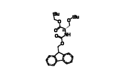 CC(C)(C)COC(=O)[C@H](COC(C)(C)C)NC(=O)OCC1c2ccccc2-c2ccccc21